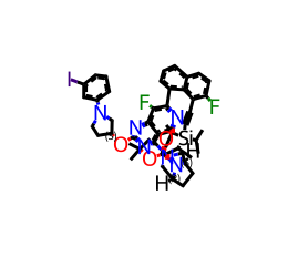 CC(C)[Si](C#Cc1c(F)ccc2cccc(-c3ncc4c(N5C[C@H]6CC[C@@H](C5)N6C(=O)OC(C)(C)C)nc(O[C@H]5CCN(c6cccc(I)c6)C5)nc4c3F)c12)(C(C)C)C(C)C